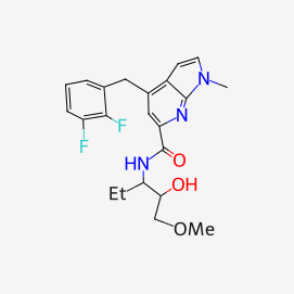 CCC(NC(=O)c1cc(Cc2cccc(F)c2F)c2ccn(C)c2n1)C(O)COC